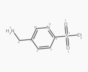 CCS(=O)(=O)c1ccc(CN)cn1